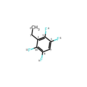 CCc1c(F)c(F)cc(F)c1F